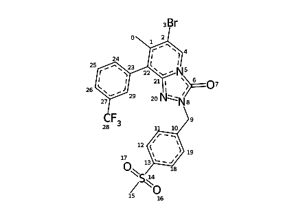 Cc1c(Br)cn2c(=O)n(Cc3ccc(S(C)(=O)=O)cc3)nc2c1-c1cccc(C(F)(F)F)c1